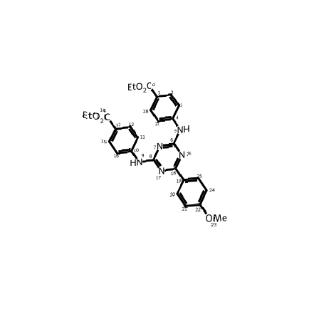 CCOC(=O)c1ccc(Nc2nc(Nc3ccc(C(=O)OCC)cc3)nc(-c3ccc(OC)cc3)n2)cc1